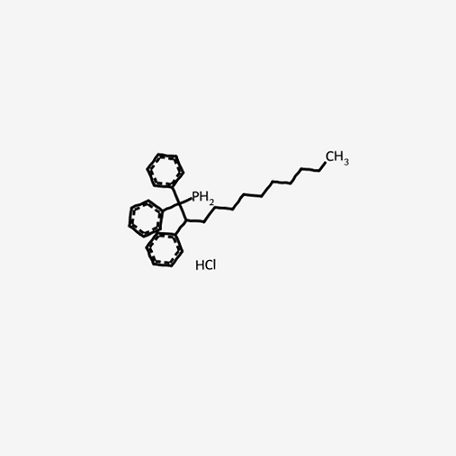 CCCCCCCCCCC(c1ccccc1)C(P)(c1ccccc1)c1ccccc1.Cl